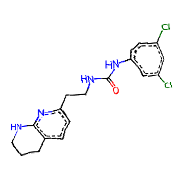 O=C(NCCc1ccc2c(n1)NCCC2)Nc1cc(Cl)cc(Cl)c1